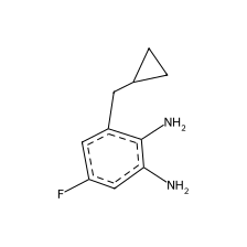 Nc1cc(F)cc(CC2CC2)c1N